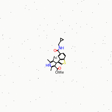 COC(=O)C1=C(C)NC(C)=C(C(C)=O)C1c1csc2ccc(C(=O)NCC3CC3)cc12